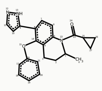 CC1CCc2c(ccc(-c3ccn[nH]3)c2Oc2ccccc2)N1C(=O)C1CC1